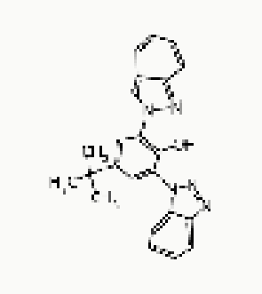 CC(C)(C)c1cc(-n2nc3ccccc3n2)c(O)c(-n2nnc3ccccc32)c1